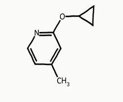 Cc1ccnc(OC2CC2)c1